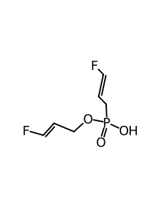 O=P(O)(CC=CF)OCC=CF